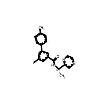 Cc1ccc(-c2cc(I)cc(C(=O)N[C@@H](C)c3cnccn3)c2)cc1